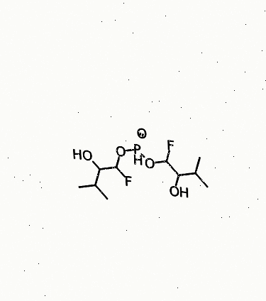 CC(C)C(O)C(F)O[PH](=O)OC(F)C(O)C(C)C